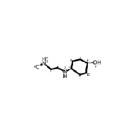 [CH2-][NH2+]CCN[C@H]1CC[C@H](O)CC1